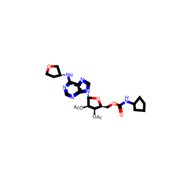 CC(=O)O[C@@H]1[C@H](OC(C)=O)[C@H](COC(=O)NC2CCCC2)O[C@H]1n1cnc2c(N[C@@H]3CCOC3)ncnc21